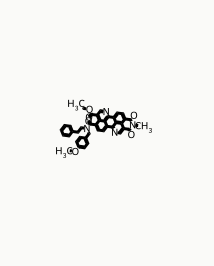 CCOC(=O)c1cnc2c3ccc4c5c(cnc(c6ccc(C(=O)N(CCc7ccccc7)Cc7ccc(OC)cc7)c1c62)c53)C(=O)N(C)C4=O